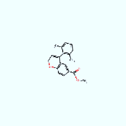 COC(=O)c1ccc2c(c1)C(c1c(C)cccc1C)=CCO2